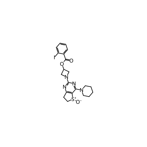 O=C(OC1CN(c2nc3c(c(N4CCCCC4)n2)[S@+]([O-])CC3)C1)c1ccccc1I